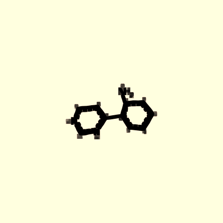 Nc1ccccc1-c1ccncn1